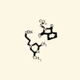 CCCCCCCCCCCCCN1CC(C)OC(C)C1.O=C1c2ccccc2C(=O)N1SC(Cl)(Cl)Cl